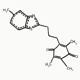 CC1=C(C)C(=O)C(CCCc2nc3cc(C)ccc3s2)=C(C)C1=O